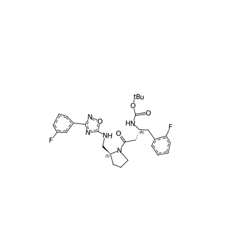 CC(C)(C)OC(=O)N[C@@H](CC(=O)N1CCC[C@H]1CNc1nc(-c2cccc(F)c2)no1)Cc1ccccc1F